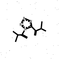 C=C(c1bbbn1C(=C)C(C)C)C(C)C